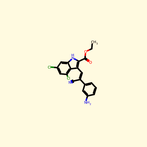 CCOC(=O)c1[nH]c2cc(Cl)cc(Cl)c2c1/C=C(\C#N)c1cccc(N)c1